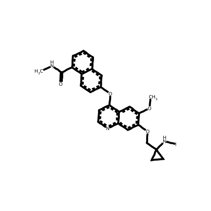 CNC(=O)c1cccc2cc(Oc3ccnc4cc(OCC5(NI)CC5)c(OC)cc34)ccc12